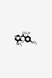 Nc1cncn(C(C(=O)O)c2ccc([N+](=O)[O-])cc2)c1=O